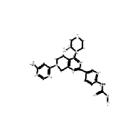 CCNC(=O)Nc1ccc(-c2nc3c(c(N4CCOC[C@@H]4C)n2)CCN(c2cc(C)ncn2)C3)cn1